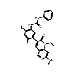 CCn1c(=O)c(-c2cc(NC(=O)Nc3ccccc3)c(F)cc2C)cc2cnc(NC)cc21